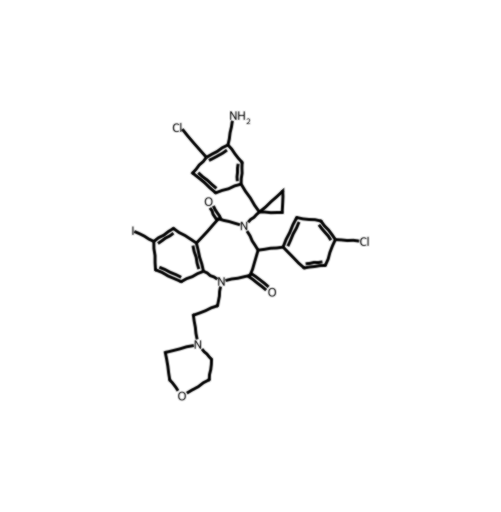 Nc1cc(C2(N3C(=O)c4cc(I)ccc4N(CCN4CCOCC4)C(=O)C3c3ccc(Cl)cc3)CC2)ccc1Cl